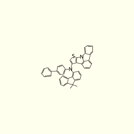 CC1(C)c2ccccc2-c2c(N(c3ccc(-c4ccccc4)cc3)c3csc4c3c3cccc5c6ccccc6n4c53)cccc21